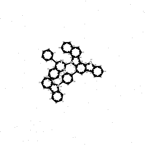 c1ccc(-c2nc(-n3c4c(-c5ccc(-n6c7ccccc7c7ccccc76)cc5)cc5c6ccccc6oc5c4c4ccc5ccccc5c43)nc3ccccc23)cc1